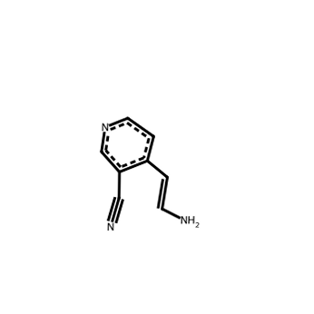 N#Cc1cnccc1/C=C/N